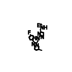 CCNCc1ccnc(NCc2c(-c3ccc(F)cc3)nc3ccc(C)cn23)n1